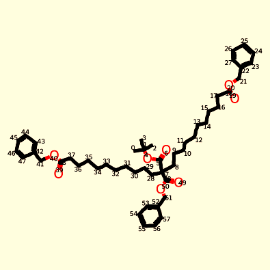 CC(C)(C)OC(=O)C(CCCCCCCCCCC(=O)OCc1ccccc1)(CCCCCCCCCCC(=O)OCc1ccccc1)C(=O)OCc1ccccc1